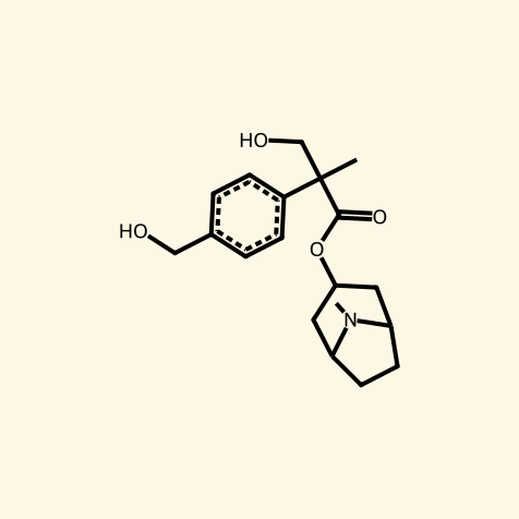 CN1C2CCC1CC(OC(=O)C(C)(CO)c1ccc(CO)cc1)C2